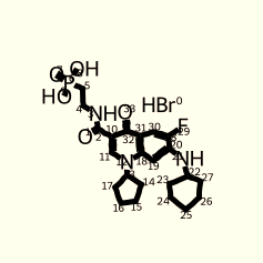 Br.O=C(NCCP(=O)(O)O)c1cn(C2CCCC2)c2cc(NC3CCCCC3)c(F)cc2c1=O